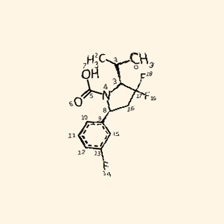 CC(C)[C@@H]1N(C(=O)O)[C@H](c2cccc(F)c2)CC1(F)F